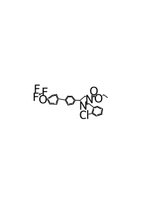 CCOC(=O)N1CC(c2ccc(-c3ccc(OC(F)(F)F)cc3)cc2)N=C1c1ccccc1Cl